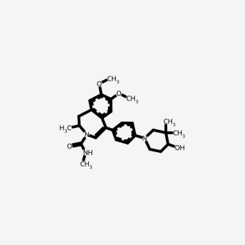 CNC(=O)N1C=C(c2ccc(N3CCC(O)C(C)(C)C3)cc2)c2cc(OC)c(OC)cc2CC1C